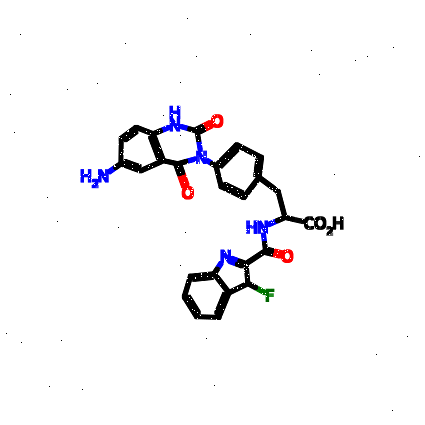 Nc1ccc2[nH]c(=O)n(-c3ccc(CC(NC(=O)C4=Nc5ccccc5C4F)C(=O)O)cc3)c(=O)c2c1